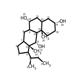 CC[C@@H](C)C1CCC2CC3C([C@H](O)[C@@]21C)[C@@]1(C)CC[C@@H](O)CC1C[C@H]3O